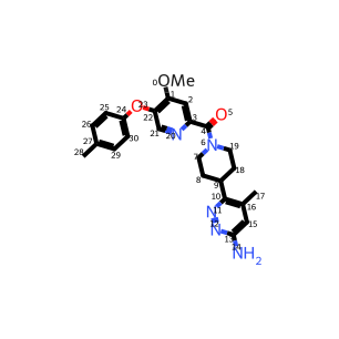 COc1cc(C(=O)N2CCC(c3nnc(N)cc3C)CC2)ncc1Oc1ccc(C)cc1